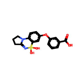 O=C(O)c1cccc(Oc2ccc3c(c2)S(O)(O)N=C2CCCN23)c1